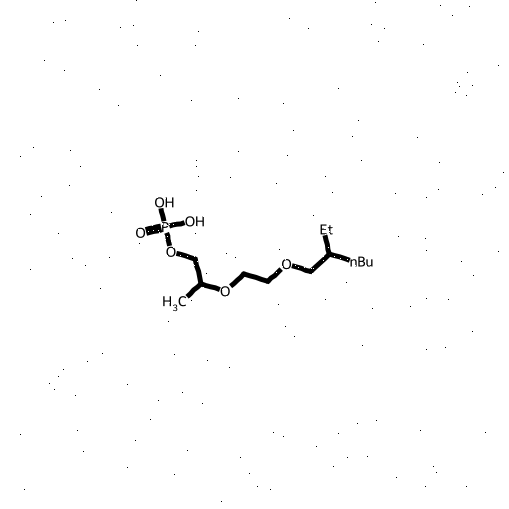 CCCCC(CC)COCCOC(C)COP(=O)(O)O